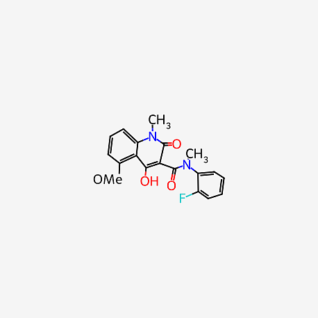 COc1cccc2c1c(O)c(C(=O)N(C)c1ccccc1F)c(=O)n2C